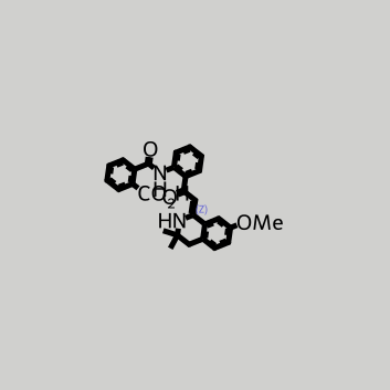 COc1ccc2c(c1)/C(=C/C(=O)c1ccccc1NC(=O)c1ccccc1C(=O)O)NC(C)(C)C2